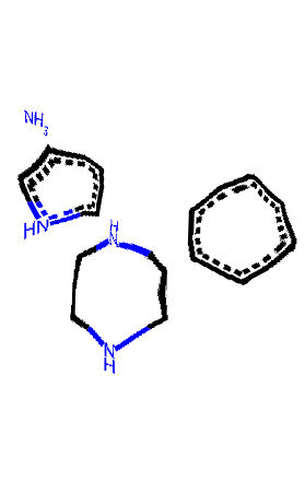 C1CNCCN1.N.c1cc[nH]c1.c1ccccc1